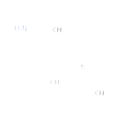 C=C(C=C=CC)/C=C(\C)N